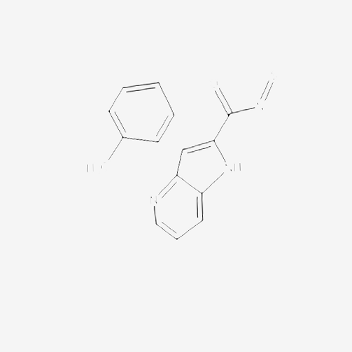 Cc1ccccc1.O=C(N=S)c1cc2ncccc2[nH]1